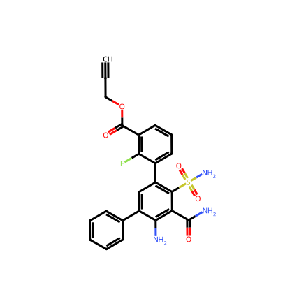 C#CCOC(=O)c1cccc(-c2cc(-c3ccccc3)c(N)c(C(N)=O)c2S(N)(=O)=O)c1F